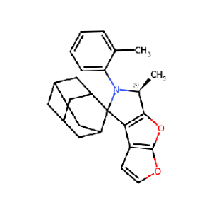 Cc1ccccc1N1[C@@H](C)c2oc3occc3c2C12C1CC3CC(C1)CC2C3